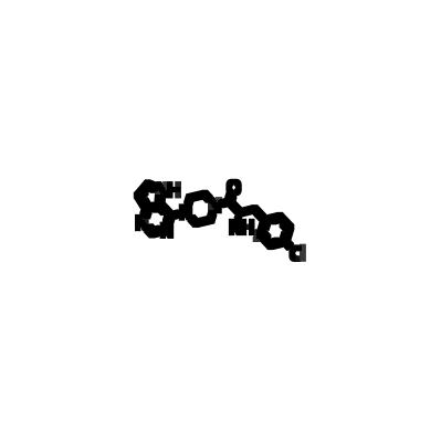 N[C@H](Cc1ccc(Cl)cc1)C(=O)N1CCN(c2ncnc3cc[nH]c23)CC1